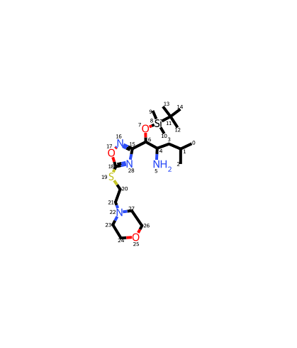 CC(C)CC(N)C(O[Si](C)(C)C(C)(C)C)c1noc(SCCN2CCOCC2)n1